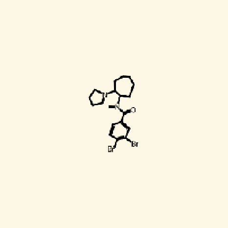 CN(C(=O)c1ccc(Br)c(Br)c1)C1CCCCCC1N1CCCC1